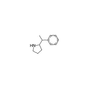 CC(c1ccccc1)C1CCCN1